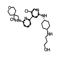 N#CC1(CNc2cccc(-c3cc(N[C@H]4CC[C@H](NCCCO)CC4)ncc3Cl)n2)CCOCC1